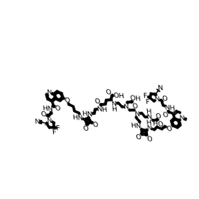 C=Nc1ccc(OCCCCNc2c(NCCN(CCNCC(=O)O)CCN(CCNC(CCC(=O)NCCNc3c(NCCCCOc4ccc5nccc(C(=O)NCC(=O)N6CC(F)(F)C[C@H]6C#N)c5c4)c(=O)c3=O)C(=O)O)CC(=O)O)c(=O)c2=O)cc1/C(=C\C)C(=O)NCC(=O)N1CC(F)(F)C[C@H]1C#N